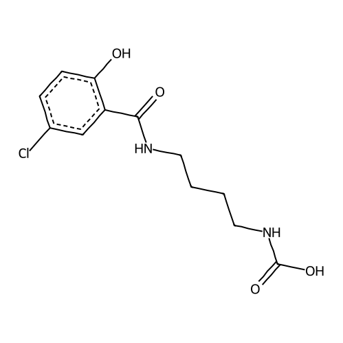 O=C(O)NCCCCNC(=O)c1cc(Cl)ccc1O